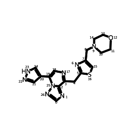 c1nc2c(Cc3nc(CN4CCOCC4)cs3)ncc(-c3cn[nH]c3)n2n1